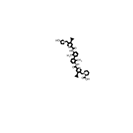 Cc1c(NC(=O)c2cc(C3CC3)c(CN3CC[C@H](O)C3)cn2)cccc1-c1cccc(NC(=O)c2cc(C3CC3)c(CN3CCCC[C@H]3C(=O)O)cn2)c1C